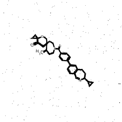 CC1CCN(C(=O)c2ccc(-c3ccc4c(c3)CCC(C3CC3)N=C4)cc2)CCC12COC1(CC1)C(=O)C2